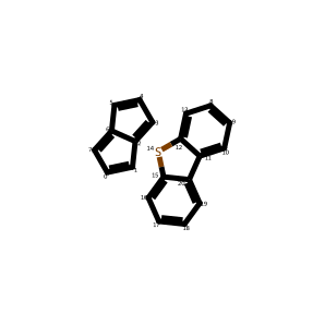 C1=CC2=CC=CC2=C1.c1ccc2c(c1)sc1ccccc12